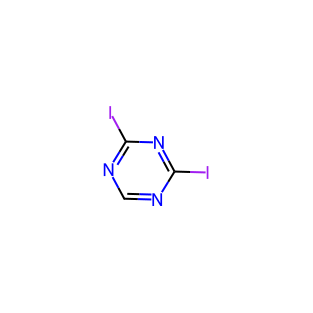 Ic1ncnc(I)n1